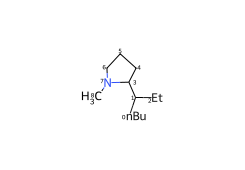 CCCCC(CC)C1CCCN1C